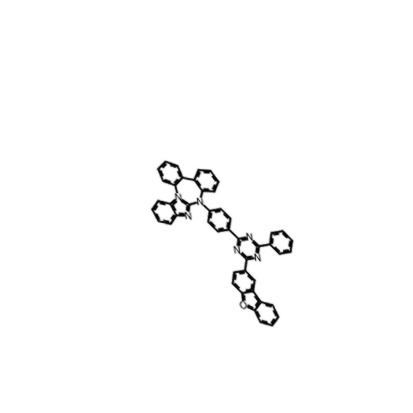 c1ccc(-c2nc(-c3ccc(N4c5ccccc5-c5ccccc5-n5c4nc4ccccc45)cc3)nc(-c3ccc4oc5ccccc5c4c3)n2)cc1